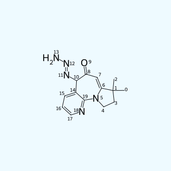 CC1(C)CCN2C1=CC(=O)C(N=NN)c1cccnc12